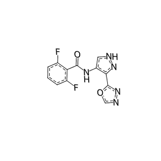 O=C(Nc1c[nH]nc1-c1nnco1)c1c(F)cccc1F